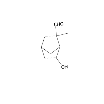 CC1(C=O)CC2CC(O)C1C2